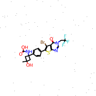 CC1(O)CC(NC(=O)O)(c2ccc(-c3sc4ncn(CC(F)(F)F)c(=O)c4c3Br)cc2)C1